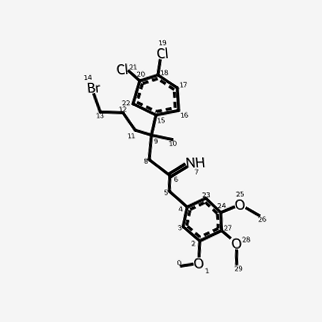 COc1cc(CC(=N)CC(C)(CCCBr)c2ccc(Cl)c(Cl)c2)cc(OC)c1OC